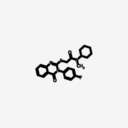 CN(C(=O)CSc1nc2ccccc2c(=O)n1-c1ccc(F)cc1)C1CCCCC1